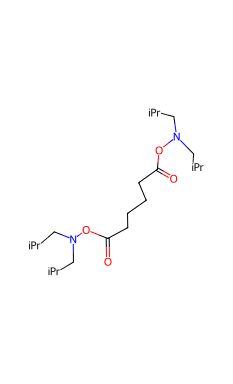 CC(C)CN(CC(C)C)OC(=O)CCCCC(=O)ON(CC(C)C)CC(C)C